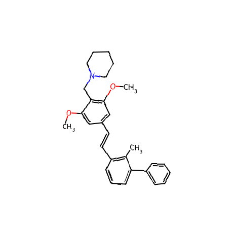 COc1cc(/C=C/c2cccc(-c3ccccc3)c2C)cc(OC)c1CN1CCCCC1